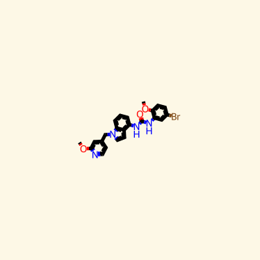 COc1cc(Cn2ccc3c(NC(=O)Nc4cc(Br)ccc4OC)cccc32)ccn1